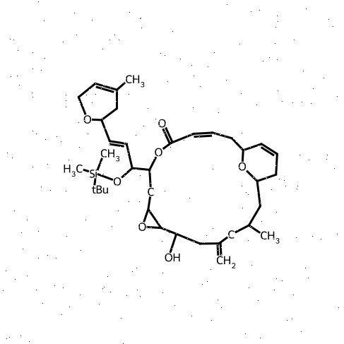 C=C1CC(C)CC2CC=CC(CC=CC(=O)OC(C(C=CC3CC(C)=CCO3)O[Si](C)(C)C(C)(C)C)CC3OC3C(O)C1)O2